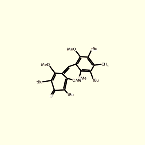 COC1=C(C(C)(C)C)C(=O)C(C(C)(C)C)=C(OC)C1=Cc1c(OC)c(C(C)(C)C)c(C)c(C(C)(C)C)c1OC